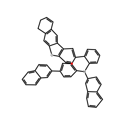 C1=Cc2cc3c(cc2CC1)oc1ccc(-c2ccccc2N(c2ccc(-c4ccc5ccccc5c4)cc2)c2ccc4ccccc4c2)cc13